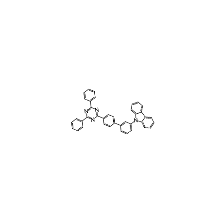 c1ccc(-c2nc(-c3ccccc3)nc(-c3ccc(-c4cccc(-n5c6ccccc6c6ccccc65)c4)cc3)n2)cc1